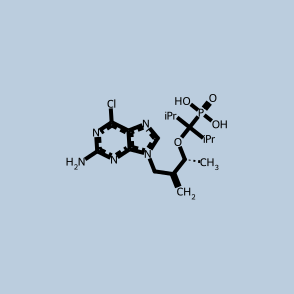 C=C(Cn1cnc2c(Cl)nc(N)nc21)[C@@H](C)OC(C(C)C)(C(C)C)P(=O)(O)O